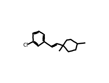 CC1CCC(C)(/C=C/c2cccc(Cl)c2)CC1